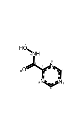 O=C(NO)c1ncncn1